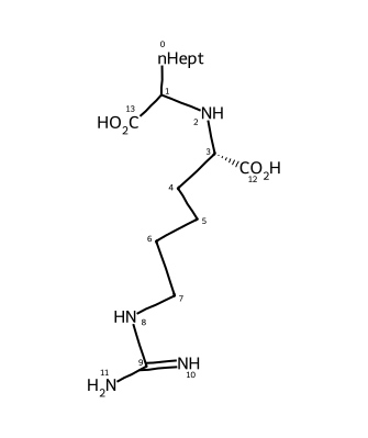 CCCCCCCC(N[C@@H](CCCCNC(=N)N)C(=O)O)C(=O)O